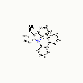 C=Cc1c(/C=C\C)n(-c2ccccc2-c2ccccc2)c2ccccc12